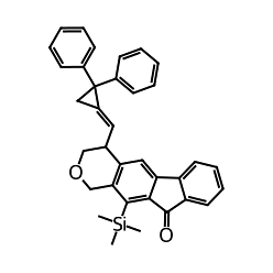 C[Si](C)(C)c1c2c(cc3c1C(=O)c1ccccc1-3)C(/C=C1\CC1(c1ccccc1)c1ccccc1)COC2